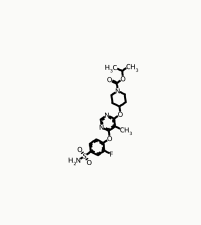 Cc1c(Oc2ccc(S(N)(=O)=O)cc2F)ncnc1OC1CCN(C(=O)OC(C)C)CC1